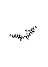 CC(=O)Oc1ccc2sc(/C=C/C3=C(Cl)C(=C/C=C4\Sc5ccc(OC(=O)OC(C)(C)C)cc5N4C)/CCC3)[n+](C)c2c1